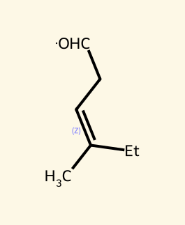 CC/C(C)=C\C[C]=O